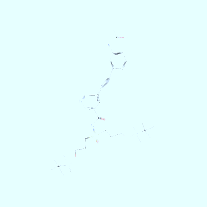 CC(=O)Nc1cccc(C#Cc2cncc(C(=O)N=S(=O)(CCCO[Si](C)(C)C(C)(C)C)CCCO[Si](C)(C)C(C)(C)C)c2)c1